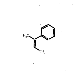 C/C=C(/C)c1[c]cccc1